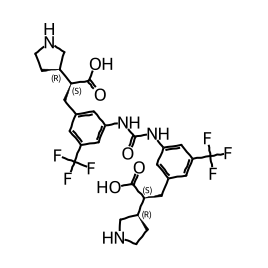 O=C(Nc1cc(C[C@H](C(=O)O)[C@H]2CCNC2)cc(C(F)(F)F)c1)Nc1cc(C[C@H](C(=O)O)[C@H]2CCNC2)cc(C(F)(F)F)c1